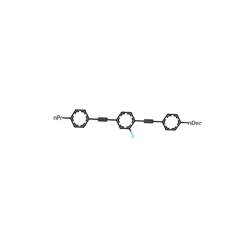 CCCCCCCCCCc1ccc(C#Cc2ccc(C#Cc3ccc(CCC)cc3)cc2F)cc1